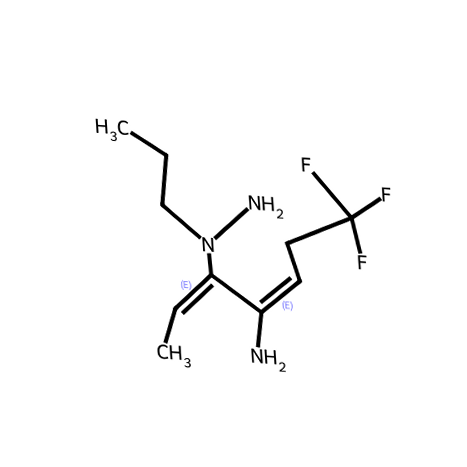 C/C=C(\C(N)=C/CC(F)(F)F)N(N)CCC